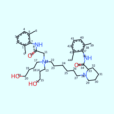 Cc1cccc(C)c1NC(=O)C[N+](CCCO)(CCCCO)CCCCCCN1CCCCC1C(=O)Nc1c(C)cccc1C